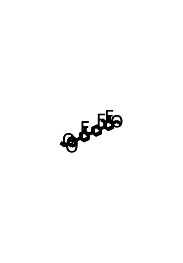 C=CC1OCC(c2ccc(-c3ccc(-c4ccc(OC)c(F)c4F)cc3)c(F)c2)CO1